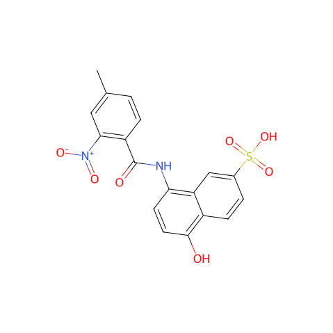 Cc1ccc(C(=O)Nc2ccc(O)c3ccc(S(=O)(=O)O)cc23)c([N+](=O)[O-])c1